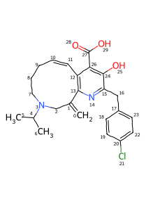 C=C1CN(C(C)C)CCC/C=C\c2c1nc(Cc1ccc(Cl)cc1)c(O)c2C(=O)O